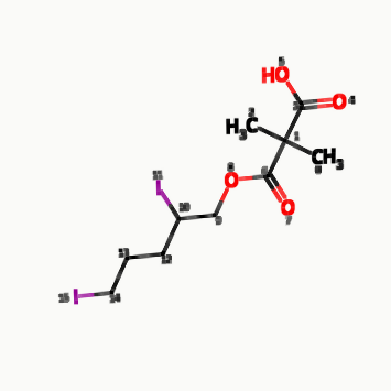 CC(C)(C(=O)O)C(=O)OCC(I)CCCI